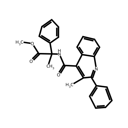 COC(=O)C(C)(NC(=O)c1c(C)c(-c2ccccc2)nc2ccccc12)c1ccccc1